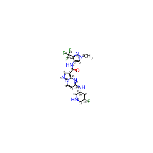 Cn1cc(NC(=O)c2cnn3ccc(N[C@H]4CNC[C@@H](F)C4)nc23)c(C(F)(F)F)n1